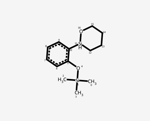 C[Si](C)(C)Oc1ccccc1[SiH]1CCCCO1